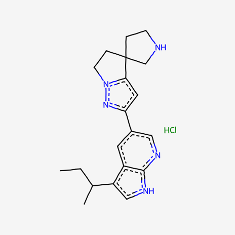 CCC(C)c1c[nH]c2ncc(-c3cc4n(n3)CCC43CCNC3)cc12.Cl